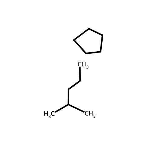 C1CCCC1.CCCC(C)C